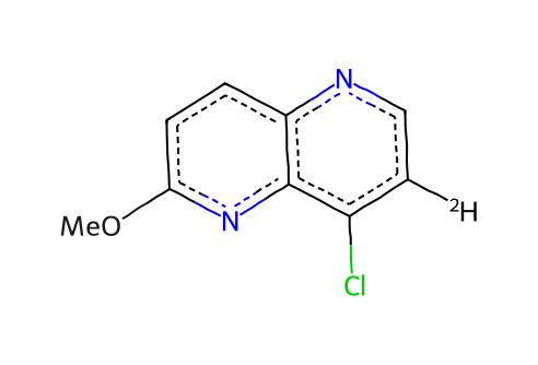 [2H]c1cnc2ccc(OC)nc2c1Cl